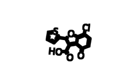 O=C(O)C1=C2C(=O)C=CC(Cl)=C2OC1c1cccs1